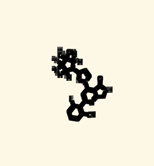 [2H]C1([2H])N(c2ccn(-c3cc(-c4c(F)cccc4C#N)nc4c3C(=O)NC4)n2)C([2H])([2H])C(C)(O)C1([2H])[2H]